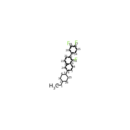 CCC1CCC(c2ccc3c(F)c(-c4ccc(F)c(F)c4)ccc3c2)CC1